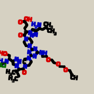 C#CCOCCOCCOCCNc1nc(N2CCN(C(=O)C([C@@H](C)CC)n3cc(C(N)CO)nn3)CC2)nc(N2CCN(C(=O)[C@H](CCC(=O)O)n3cc(C(N)CC(C)C)nn3)CC2)n1.Cl